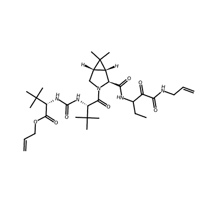 C=CCNC(=O)C(=O)C(CC)NC(=O)[C@@H]1[C@@H]2[C@H](CN1C(=O)[C@@H](NC(=O)N[C@H](C(=O)OCC=C)C(C)(C)C)C(C)(C)C)C2(C)C